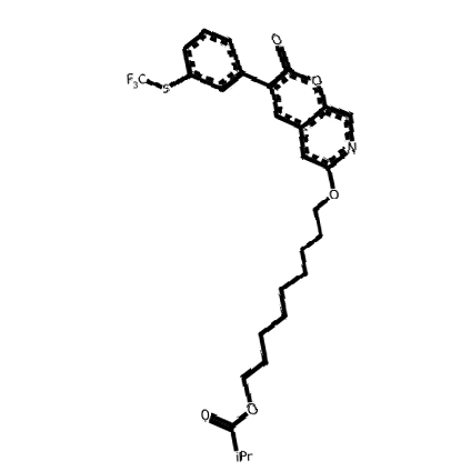 CC(C)C(=O)OCCCCCCCCCOc1cc2cc(-c3cccc(SC(F)(F)F)c3)c(=O)oc2cn1